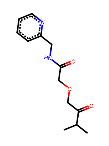 CC(C)C(=O)COCC(=O)NCc1ccccn1